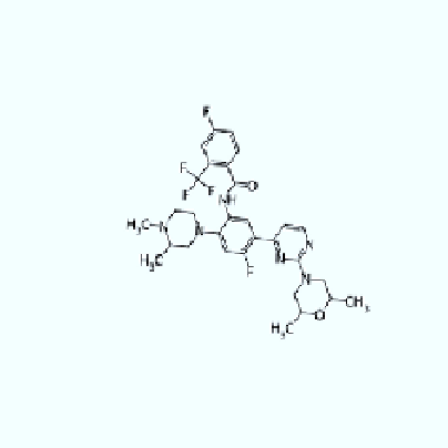 CC1CN(c2nccc(-c3cc(NC(=O)c4ccc(F)cc4C(F)(F)F)c(N4CCN(C)C(C)C4)cc3F)n2)CC(C)O1